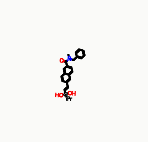 CC(C)[Si](O)(O)C=Cc1ccc2cc(C(=O)N(C)Cc3ccccc3)ccc2c1